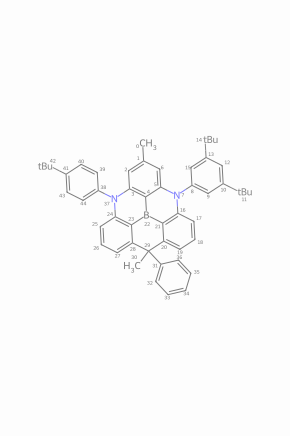 Cc1cc2c3c(c1)N(c1cc(C(C)(C)C)cc(C(C)(C)C)c1)c1cccc4c1B3c1c(cccc1C4(C)c1ccccc1)N2c1ccc(C(C)(C)C)cc1